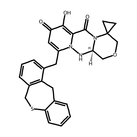 O=C1c2c(O)c(=O)cc(Cc3cccc4c3Cc3ccccc3SC4)n2N[C@@H]2COCC3(CC3)N12